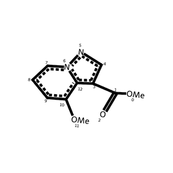 COC(=O)c1cnn2cccc(OC)c12